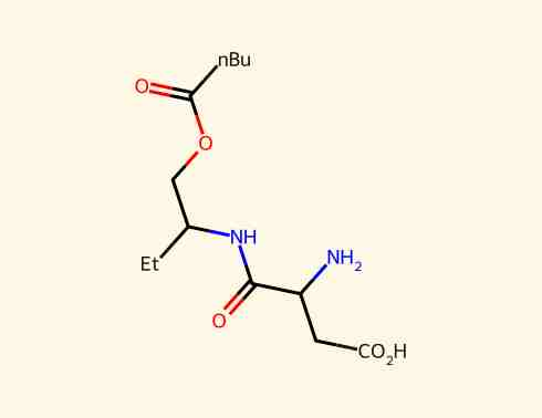 CCCCC(=O)OCC(CC)NC(=O)C(N)CC(=O)O